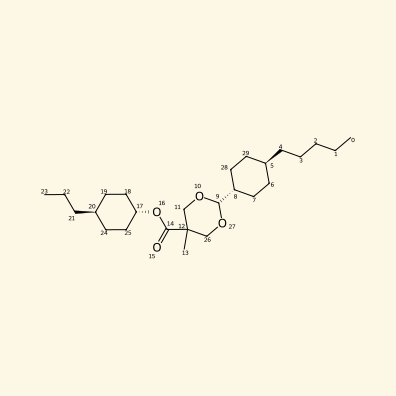 CCCCC[C@H]1CC[C@H](C2OCC(C)(C(=O)O[C@H]3CC[C@H](CCC)CC3)CO2)CC1